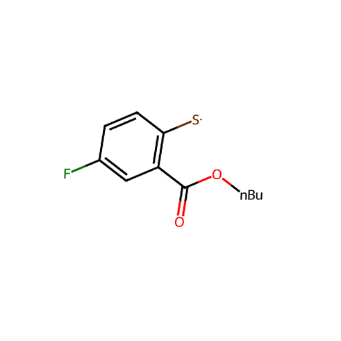 CCCCOC(=O)c1cc(F)ccc1[S]